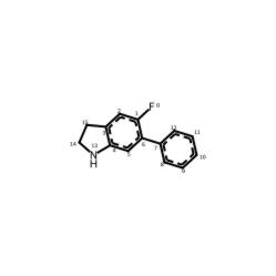 Fc1cc2c(cc1-c1ccccc1)NCC2